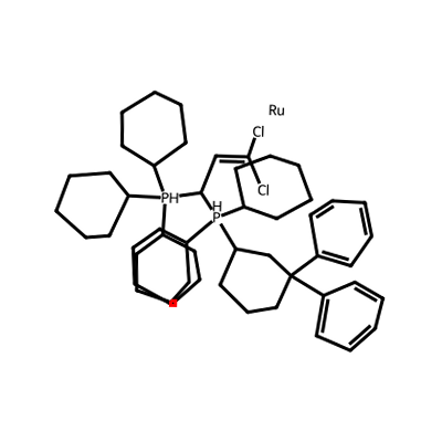 ClC(Cl)=CC([PH](C1CCCCC1)(C1CCCCC1)C1CCCCC1)[PH](C1CCCCC1)(C1CCCCC1)C1CCCC(c2ccccc2)(c2ccccc2)C1.[Ru]